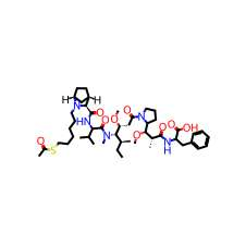 CC[C@H](C)[C@@H]([C@@H](CC(=O)N1CCCC1[C@H](OC)[C@@H](C)C(=O)NC(Cc1ccccc1)C(=O)O)OC)N(C)C(=O)C(NC(=O)[C@@H]1[C@H]2CC[C@H](C2)N1CCCCCCSC(C)=O)C(C)C